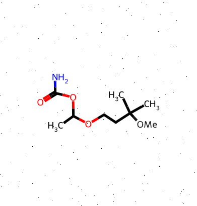 COC(C)(C)CCOC(C)OC(N)=O